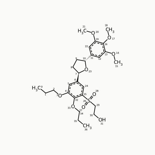 CCCOc1cc([C@H]2CC[C@H](c3cc(OC)c(OC)c(OC)c3)O2)cc(S(=O)(=O)CCO)c1OCCC